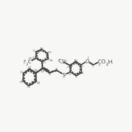 O=C(O)COc1ccc(SCC=C(c2ccccc2)c2ccccc2C(F)(F)F)c(Cl)c1